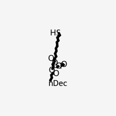 CCCCCCCCCCCCCC(=O)O[C@@H](COP=O)COC(=O)CCCCCCCCCS